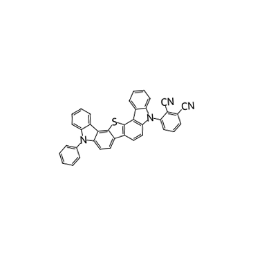 N#Cc1cccc(-n2c3ccccc3c3c4sc5c(ccc6c5c5ccccc5n6-c5ccccc5)c4ccc32)c1C#N